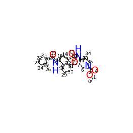 CCOC(=O)N1CC[C@@H](NS(=O)(=O)c2ccc(NC(=O)c3ccccc3C)c3ccccc23)[C@H](C)C1